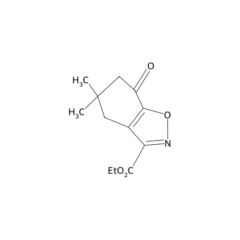 CCOC(=O)c1noc2c1CC(C)(C)CC2=O